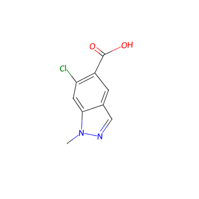 Cn1ncc2cc(C(=O)O)c(Cl)cc21